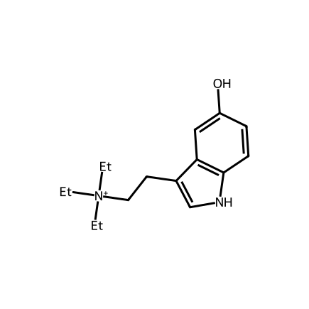 CC[N+](CC)(CC)CCc1c[nH]c2ccc(O)cc12